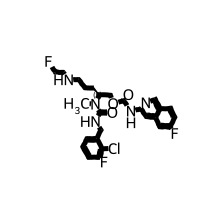 CN(C(=O)NCc1cccc(F)c1Cl)[C@@H](CCCNCCF)COC(=O)Nc1cc2cc(F)ccc2cn1